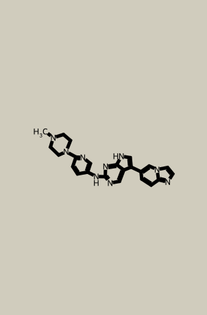 CN1CCN(c2ccc(Nc3ncc4c(-c5ccc6nccn6c5)c[nH]c4n3)cn2)CC1